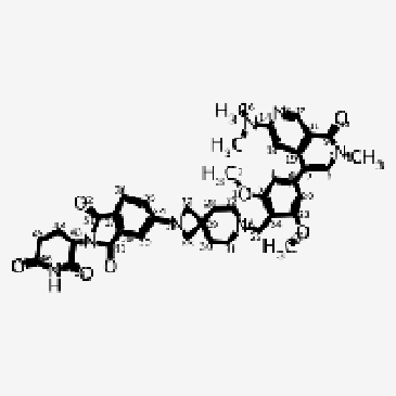 COc1cc(-c2cn(C)c(=O)c3cnc(N(C)C)cc23)cc(OC)c1CN1CCC2(CC1)CN(c1ccc3c(c1)C(=O)N(C1CCC(=O)NC1=O)C3=O)C2